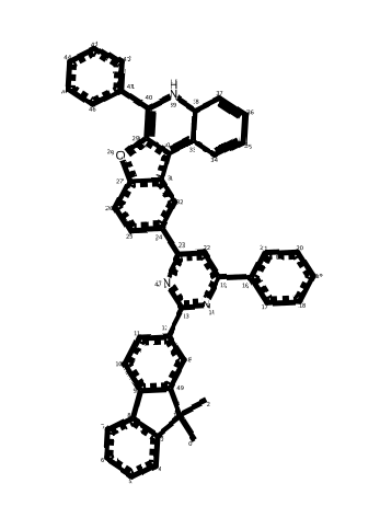 CC1(C)c2ccccc2-c2ccc(-c3nc(-c4ccccc4)cc(-c4ccc5oc6c(c5c4)=C4C=CC=CC4NC=6c4ccccc4)n3)cc21